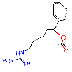 N=C(N)NCCCCC(O[C]=O)c1ccccc1